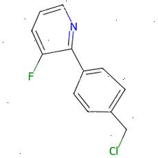 Fc1cccnc1-c1ccc(CCl)cc1